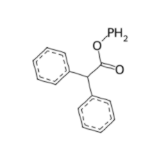 O=C(OP)C(c1ccccc1)c1ccccc1